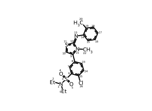 CCN(CC)S(=O)(=O)c1cc(-c2cs/c(=N/c3ccccc3C)n2C)ccc1Cl